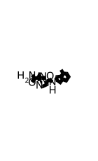 Cc1cccc2c1CC(NC(=O)c1ccnc3c(C(N)=O)cnn13)C2